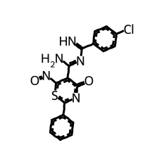 N=C(/N=C(\N)c1c(N=O)sc(-c2ccccc2)nc1=O)c1ccc(Cl)cc1